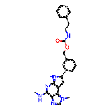 CNc1nc2[nH]c(-c3cccc(COC(=O)NCCc4ccccc4)c3)cc2c2c1ncn2C